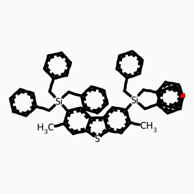 Cc1cc2sc3cc(C)c([Si](Cc4ccccc4)(Cc4ccccc4)Cc4ccccc4)cc3c2cc1[Si](Cc1ccccc1)(Cc1ccccc1)Cc1ccccc1